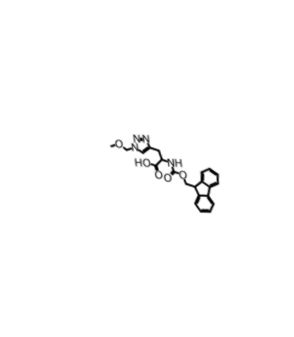 COCn1cc(CC(NC(=O)OCC2c3ccccc3-c3ccccc32)C(=O)O)nn1